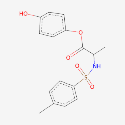 Cc1ccc(S(=O)(=O)NC(C)C(=O)Oc2ccc(O)cc2)cc1